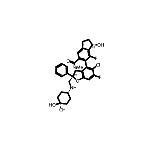 CNC(=O)c1cc2c(c(F)c1-c1c(Cl)c(F)cc3c1C[C@@](CN[C@H]1CC[C@](C)(O)CC1)(c1ccccc1)O3)[C@H](O)CC2